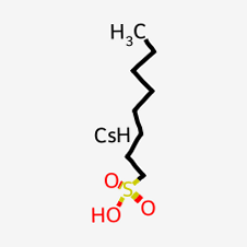 CCCCCCCCS(=O)(=O)O.[CsH]